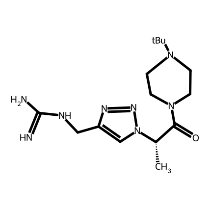 C[C@@H](C(=O)N1CCN(C(C)(C)C)CC1)n1cc(CNC(=N)N)nn1